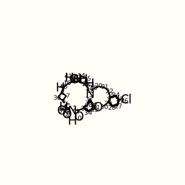 O=C1NS(=O)(=O)[C@H]2C[C@H](CC[C@H](O)[C@@H]3CC[C@H]3CN3CCCCc4cc(Cl)ccc4COc4ccc1cc43)C2